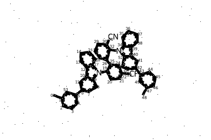 Cc1cccc(-c2ccc3c(c2)c2ccccc2n3-c2ccc(C(F)(F)F)cc2-c2cccc(C#N)c2-n2c3ccccc3c3cc(-c4cccc(C)c4)ccc32)c1